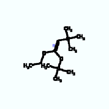 CCO/C(=C/[Si](C)(C)C)O[Si](C)(C)C